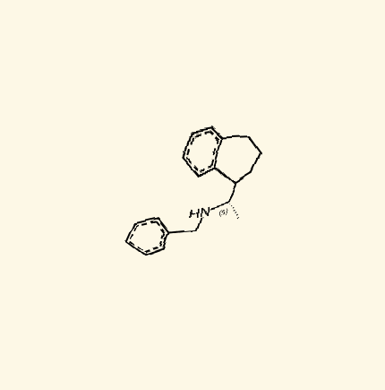 C[C@H](NCc1ccccc1)C1CCCc2ccccc21